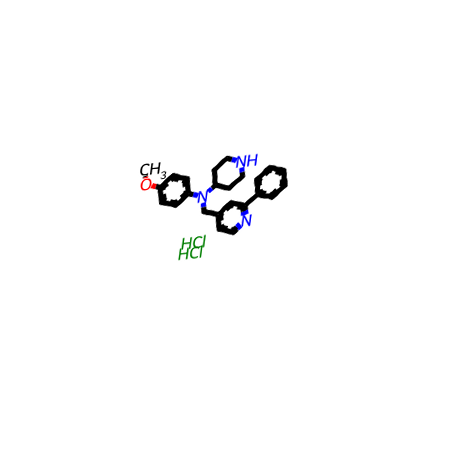 COc1ccc(N(Cc2ccnc(-c3ccccc3)c2)C2CCNCC2)cc1.Cl.Cl